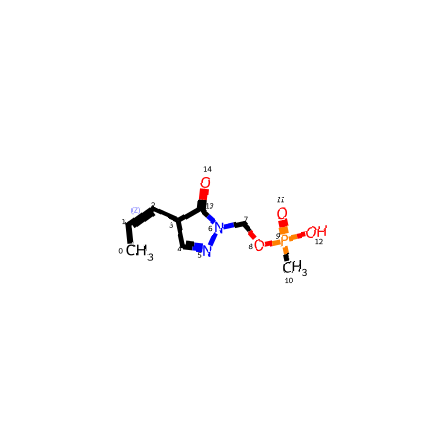 C/C=C\C1C=NN(COP(C)(=O)O)C1=O